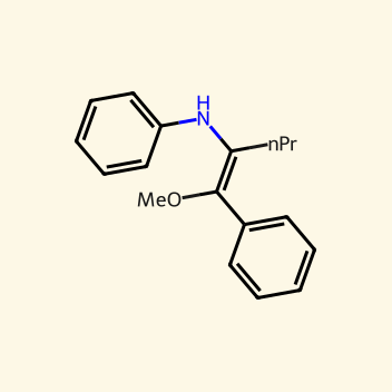 CCCC(Nc1ccccc1)=C(OC)c1ccccc1